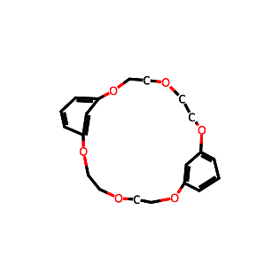 c1cc2cc(c1)OCCOCCOc1cccc(c1)OCCOCCO2